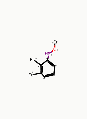 CCOPc1cccc(CC)c1CC